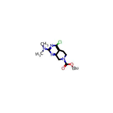 CN(C)c1nc(Cl)c2c(n1)CN(C(=O)OC(C)(C)C)CC2